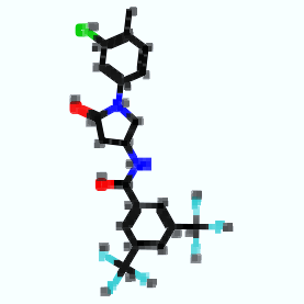 Cc1ccc(N2CC(NC(=O)c3cc(C(F)(F)F)cc(C(F)(F)F)c3)CC2=O)cc1Cl